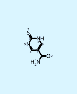 NC(=O)c1cnc(=S)[nH]c1